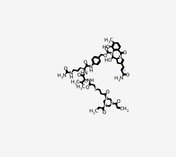 C=CC(=O)N1CN(C(=O)C=C)CN(C(=O)CCSCC(=O)N[C@H](C(=O)N[C@@H](CCCNC(N)=O)C(=O)Nc2ccc(COC(=O)N3c4c(ccc(C)c4O)C(=O)N4C=C(/C=C/C(N)=O)CC4C3O)cc2)C(C)C)C1